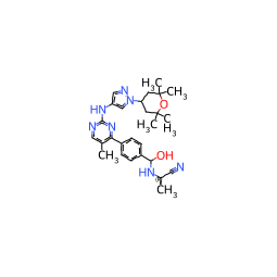 Cc1cnc(Nc2cnn(C3CC(C)(C)OC(C)(C)C3)c2)nc1-c1ccc(C(O)N[C@H](C)C#N)cc1